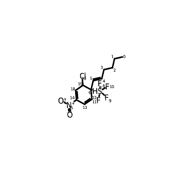 CCCCC=CC1([SH](F)(F)(F)F)C=CC([N+](=O)[O-])=CC1Cl